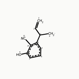 [CH2]C(C=C)c1cccc(O)c1C#N